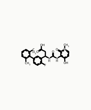 Cc1cccc(C)c1-c1ccc(F)c(C(CC(=O)O)NC(=O)Nc2c(O)ccn(C)c2=O)c1